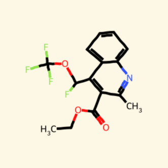 CCOC(=O)c1c(C)nc2ccccc2c1C(F)OC(F)(F)F